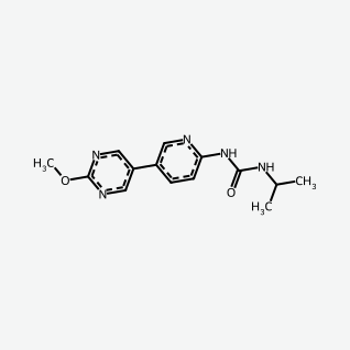 COc1ncc(-c2ccc(NC(=O)NC(C)C)nc2)cn1